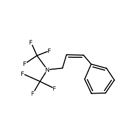 FC(F)(F)N(C/C=C\c1ccccc1)C(F)(F)F